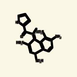 C[N+](C(=O)c1ccc[nH]1)=C1C(S(=O)(=O)O)=CC(S(=O)(=O)O)c2ccc(N)c(S(=O)(=O)O)c21